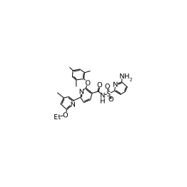 CCOc1cc(C)cc(-c2ccc(C(=O)NS(=O)(=O)c3cccc(N)n3)c(Oc3c(C)cc(C)cc3C)n2)n1